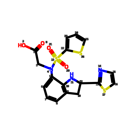 O=C(O)CN(c1cccc2c1NC(c1nccs1)C2)S(=O)(=O)c1cccs1